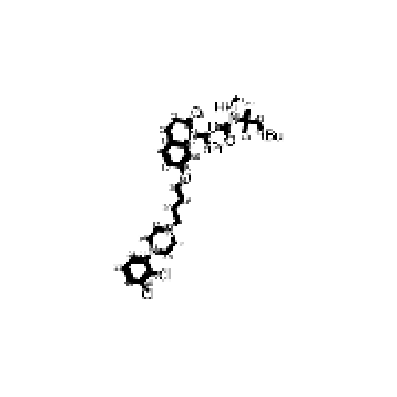 CPN(C(=O)OC(C(C)C)N1C(=O)CCc2ccc(OCCCCN3CCN(c4cccc(Cl)c4Cl)CC3)cc21)C(C)(C)CC(C)(C)C